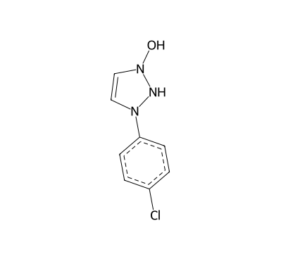 ON1C=CN(c2ccc(Cl)cc2)N1